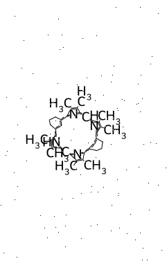 CC1=C(C)c2nc1cc1[nH]c(c3cc(c4nc(cc5[nH]c(c6cc2CCC6)c(C)c5C)C(C)=C4C)CCC3)c(C)c1C